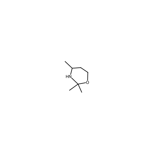 CC1CCOC(C)(C)N1